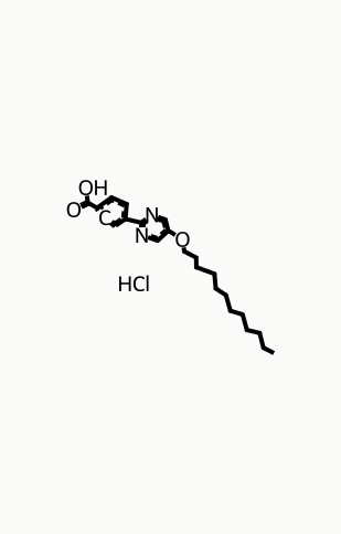 CCCCCCCCCCCCOc1cnc(-c2ccc(C(=O)O)cc2)nc1.Cl